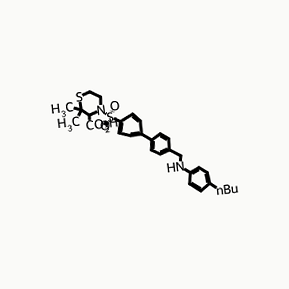 CCCCc1ccc(NCc2ccc(-c3ccc(S(=O)(=O)N4CCSC(C)(C)C4C(=O)O)cc3)cc2)cc1